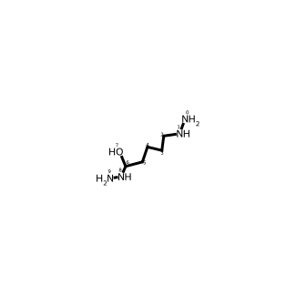 NNCCCCC(O)NN